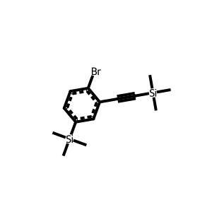 C[Si](C)(C)C#Cc1cc([Si](C)(C)C)ccc1Br